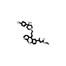 CCOC(=O)/C=C(\C)c1ccc2c(c1)/C(=C/CCN1CCC(O)(c3ccc(Cl)cc3)CC1)c1cccnc1CO2